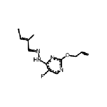 C=CCOc1ncc(F)c(N/N=C/C(C)=C/C)n1